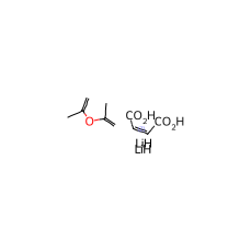 C=C(C)OC(=C)C.O=C(O)/C=C\C(=O)O.[LiH].[LiH]